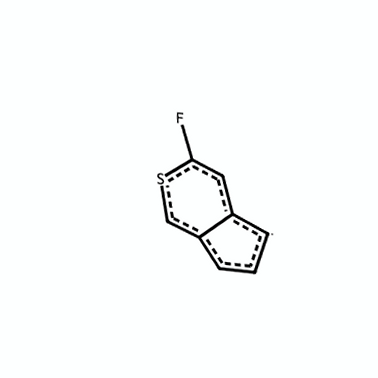 Fc1cc2[c]ccc-2cs1